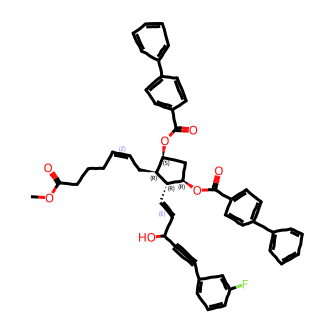 COC(=O)CCC/C=C\C[C@@H]1[C@@H](/C=C/C(O)C#Cc2cccc(F)c2)[C@H](OC(=O)c2ccc(-c3ccccc3)cc2)C[C@@H]1OC(=O)c1ccc(-c2ccccc2)cc1